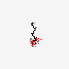 CCO[Si](CCC(C)(O)CCCC(C)CCCC(C)CCCC(C)C)(OCC)OCC